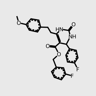 COc1ccc(CCC2=C(C(=O)OCc3cccc(F)c3)C(c3ccc(F)cc3)NC(=O)N2)cc1